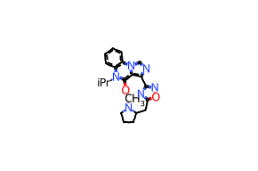 CC(C)n1c(=O)c2c(-c3noc(CC4CCCN4C)n3)ncn2c2ccccc21